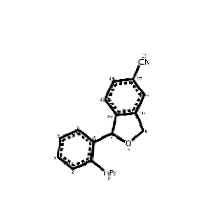 CCCc1ccccc1C1OCc2cc(C#N)ccc21